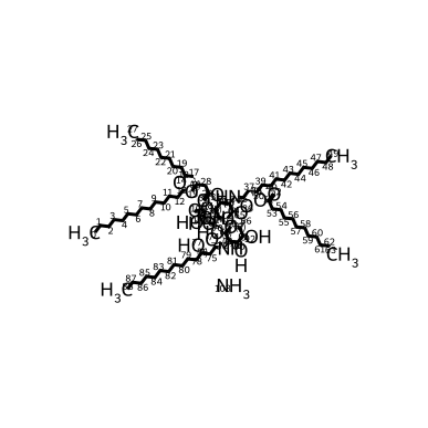 CCCCCCCCCCCCCC(=O)O[C@H](CCCCCCCCCCC)CC(=O)O[C@@H]1[C@@H](NC(=O)C[C@@H](CCCCCCCCCCC)OC(=O)CCCCCCCCCCC)[C@H](OC[C@H]2O[C@H](O)[C@H](NC(=O)C[C@H](O)CCCCCCCCCCC)[C@@H](O)[C@@H]2O)O[C@H](CO)[C@H]1OP(=O)(O)O.N